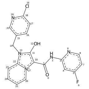 O=C(Nc1cc(F)ccn1)c1c(O)n(Cc2ccc(Cl)nc2)c2cccc[n+]12